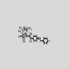 C[N+](C)(C)C[C@@H](CC(=O)O)NC(=O)Nc1ccc(OCc2ccccc2)cc1